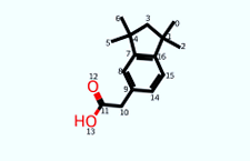 CC1(C)CC(C)(C)c2cc(CC(=O)O)ccc21